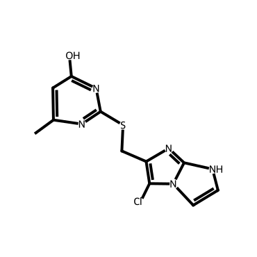 Cc1cc(O)nc(SCc2nc3[nH]ccn3c2Cl)n1